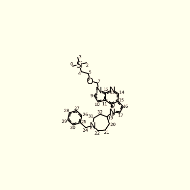 C[Si](C)(C)CCOCn1ccc2c1ncc1ccn(C3CCCN(Cc4ccccc4)CC3)c12